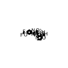 [2H]C([2H])([2H])Oc1c(OC)ccnc1C([2H])([2H])[S+]([O-])c1nc2ccc(OC(F)F)cc2[nH]1